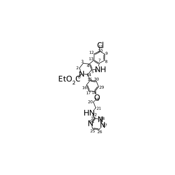 CCOC(=O)N1CCc2c([nH]c3ccc(Cl)cc23)C1c1ccc(OCCNc2nccnn2)cc1